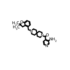 CC1(C)Cc2c(CN3CCC4(CC3)CCN(C(=O)c3ccncc3N)CC4)cccc2O1